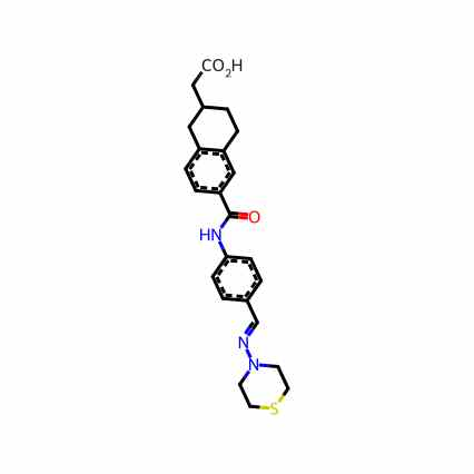 O=C(O)CC1CCc2cc(C(=O)Nc3ccc(C=NN4CCSCC4)cc3)ccc2C1